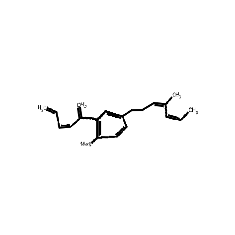 C=C/C=C\C(=C)c1cc(CC/C=C(C)\C=C/C)ccc1SC